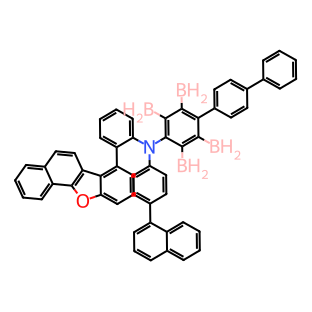 Bc1c(B)c(N(c2ccc(-c3cccc4ccccc34)cc2)c2ccccc2-c2cccc3oc4c5ccccc5ccc4c23)c(B)c(B)c1-c1ccc(-c2ccccc2)cc1